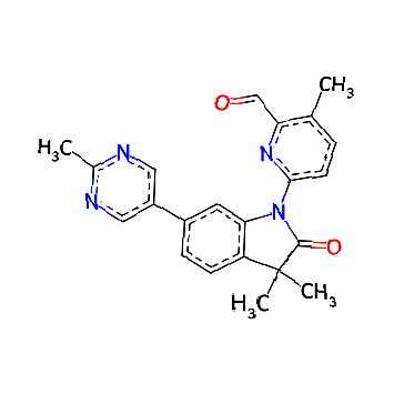 Cc1ncc(-c2ccc3c(c2)N(c2ccc(C)c(C=O)n2)C(=O)C3(C)C)cn1